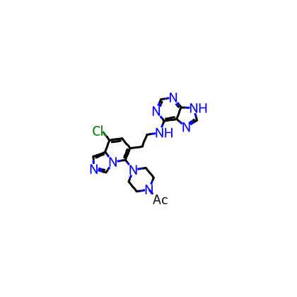 CC(=O)N1CCN(c2c(CCNc3ncnc4[nH]cnc34)cc(Cl)c3cncn23)CC1